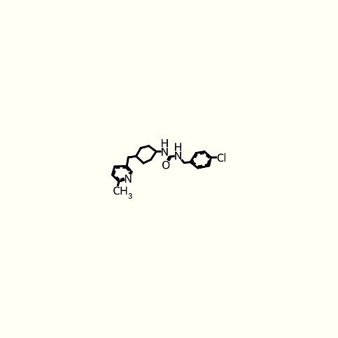 Cc1ccc(CC2CCC(NC(=O)NCc3ccc(Cl)cc3)CC2)cn1